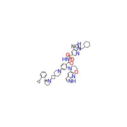 O=C(NS(=O)(=O)c1cnc(NCC2CCCCC2)c([N+](=O)[O-])c1)c1ccc(N2CCC3(CC2)CC(N2CCC[C@@H]2c2ccccc2C2CC2)C3)cc1N1CCCOc2nc3[nH]ccc3cc21